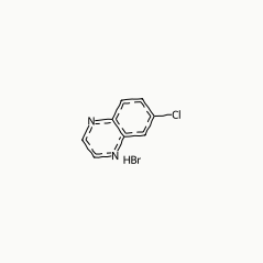 Br.Clc1ccc2nccnc2c1